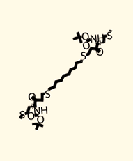 CSCC[C@H](NC(=O)OC(C)(C)C)C(=O)CCSCCCCCCCCCCSCCC(=O)[C@H](CCSC)NC(=O)OC(C)(C)C